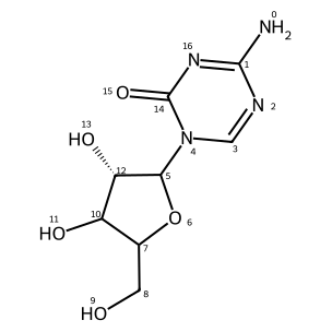 Nc1ncn(C2OC(CO)C(O)[C@@H]2O)c(=O)n1